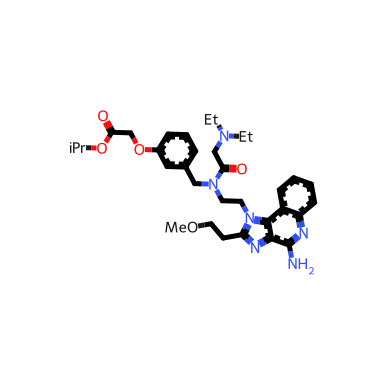 CCN(CC)CC(=O)N(CCn1c(CCOC)nc2c(N)nc3ccccc3c21)Cc1cccc(OCC(=O)OC(C)C)c1